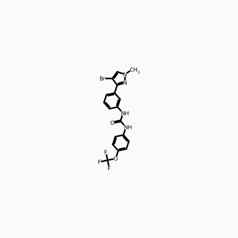 Cn1cc(Br)c(-c2cccc(NC(=O)Nc3ccc(OC(F)(F)F)cc3)c2)n1